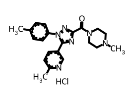 Cc1ccc(-n2nc(C(=O)N3CCN(C)CC3)nc2-c2ccc(C)nc2)cc1.Cl